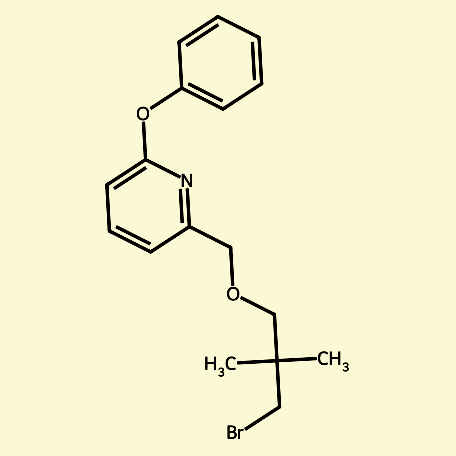 CC(C)(CBr)COCc1cccc(Oc2ccccc2)n1